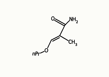 CCCO/C=C(\C)C(N)=O